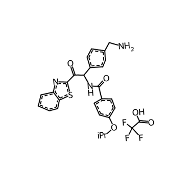 CC(C)Oc1ccc(C(=O)NC(C(=O)c2nc3ccccc3s2)c2ccc(CN)cc2)cc1.O=C(O)C(F)(F)F